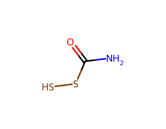 NC(=O)SS